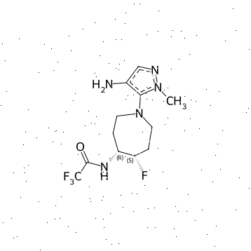 Cn1ncc(N)c1N1CC[C@H](F)[C@H](NC(=O)C(F)(F)F)CC1